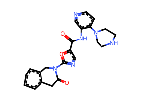 O=C(Nc1cnccc1N1CCNCC1)c1cnc(N2Cc3ccccc3CC2=O)o1